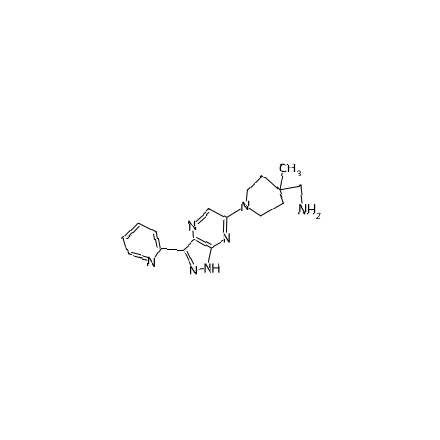 CC1(CN)CCN(c2cnc3c(-c4ccccn4)n[nH]c3n2)CC1